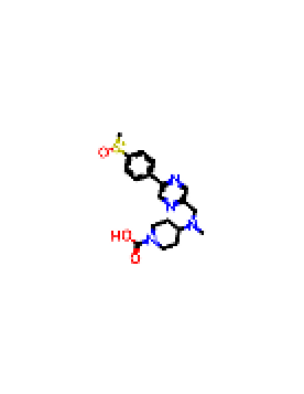 CN(Cc1cnc(-c2ccc([S+](C)[O-])cc2)cn1)C1CCN(C(=O)O)CC1